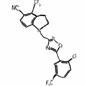 N#Cc1ccc2c(c1C(F)(F)F)CCN2Cc1noc(-c2cc(C(F)(F)F)ccc2Cl)n1